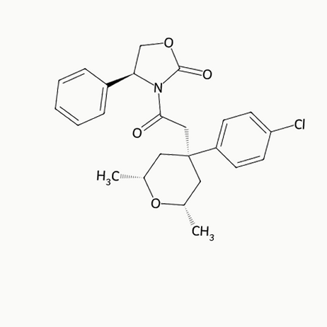 C[C@@H]1C[C@@](CC(=O)N2C(=O)OC[C@@H]2c2ccccc2)(c2ccc(Cl)cc2)C[C@H](C)O1